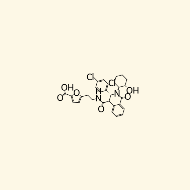 O=C(O)c1ccc(CCNC(=O)[C@@H]2c3ccccc3C(=O)N([C@H]3CCCC[C@@H]3O)[C@H]2c2ccc(Cl)cc2Cl)o1